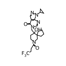 O=C(CCC(F)(F)F)N1CCC(O)(Cn2cnc3c(cnn3C3CC3)c2=O)C2(CCCC2)C1